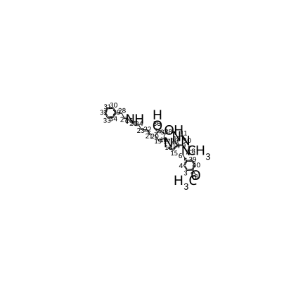 COc1ccc(CN(C)c2ncnc3c2ccn3[C@@H]2C[C@H](C=CCCCNCCc3ccccc3)[C@@H](O)[C@H]2O)cc1